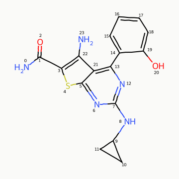 NC(=O)c1sc2nc(NC3CC3)nc(-c3ccccc3O)c2c1N